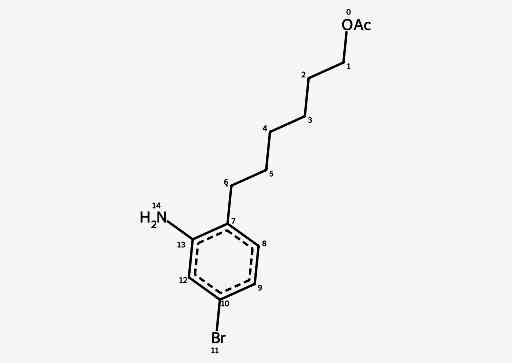 CC(=O)OCCCCC[CH]c1ccc(Br)cc1N